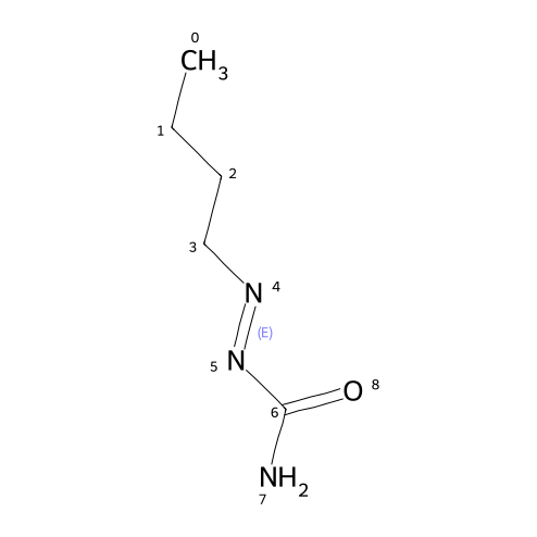 CCCC/N=N/C(N)=O